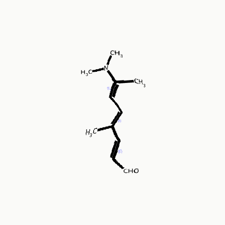 CC(/C=C/C=O)=C\C=C(/C)N(C)C